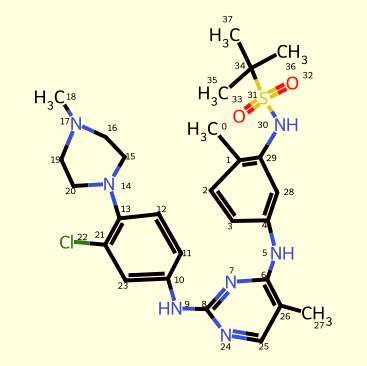 Cc1ccc(Nc2nc(Nc3ccc(N4CCN(C)CC4)c(Cl)c3)ncc2C)cc1NS(=O)(=O)C(C)(C)C